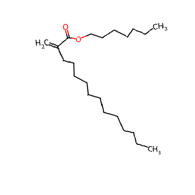 C=C(CCCCCCCCCCCC)C(=O)OCCCCCCC